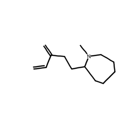 C=CC(=C)CCC1CCCCCN1C